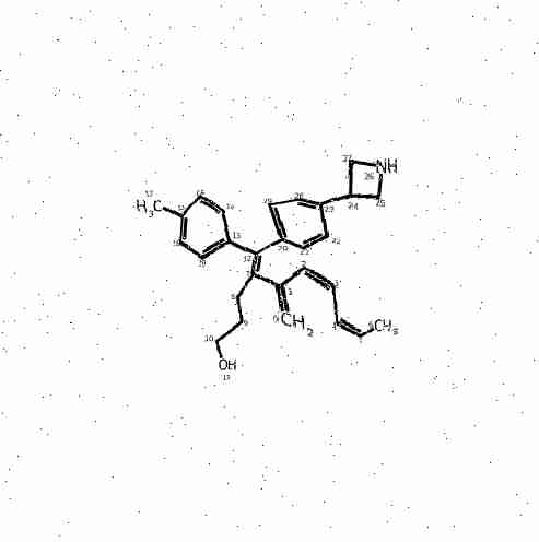 C=C(/C=C\C=C/C)/C(CCCO)=C(/c1ccc(C)cc1)c1ccc(C2CNC2)cc1